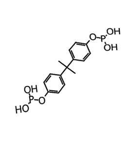 CC(C)(c1ccc(OP(O)O)cc1)c1ccc(OP(O)O)cc1